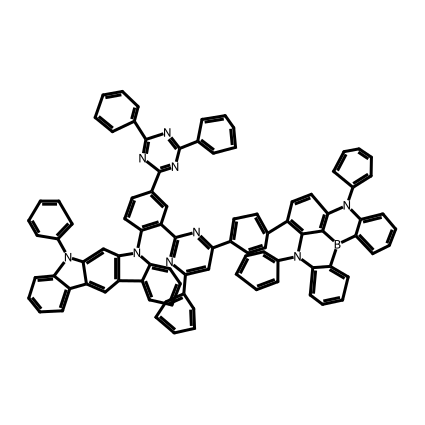 c1ccc(-c2cc(-c3ccc(-c4ccc5c6c4N(c4ccccc4)c4ccccc4B6c4ccccc4N5c4ccccc4)cc3)nc(-c3cc(-c4nc(-c5ccccc5)nc(-c5ccccc5)n4)ccc3-n3c4ccccc4c4cc5c6ccccc6n(-c6ccccc6)c5cc43)n2)cc1